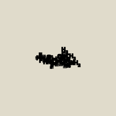 CC(C)n1c(=O)c(-c2ccc(N[S+]([O-])CCC(F)(F)F)c(F)c2)cc2cnc(N)nc21